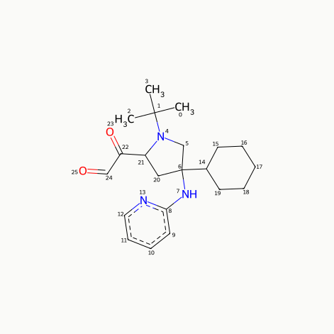 CC(C)(C)N1CC(Nc2ccccn2)(C2CCCCC2)CC1C(=O)C=O